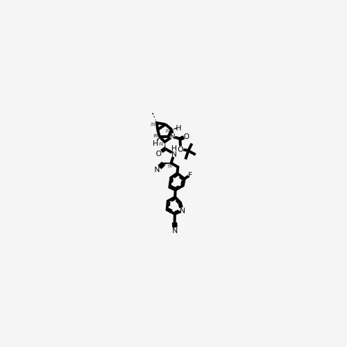 C[C@H]1C2C1[C@@H]1C[C@H]2[C@@H](C(=O)N[C@H](C#N)Cc2ccc(-c3ccc(C#N)nc3)cc2F)N1C(=O)OC(C)(C)C